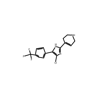 FC(F)(F)c1ccc(-c2[nH]c(C3=CCNCC3)nc2Cl)cc1